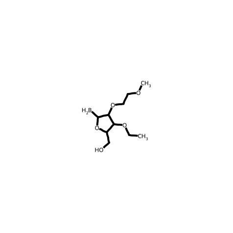 BC1OC(CO)C(OCC)C1OCCOC